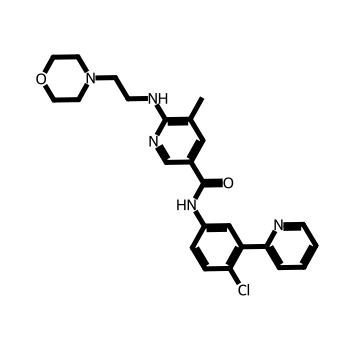 Cc1cc(C(=O)Nc2ccc(Cl)c(-c3ccccn3)c2)cnc1NCCN1CCOCC1